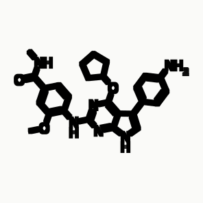 CNC(=O)c1ccc(Nc2nc(OC3CCCC3)c3c(-c4ccc(N)cc4)c[nH]c3n2)c(OC)c1